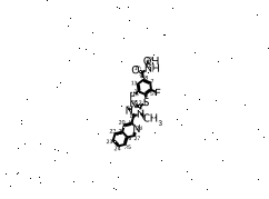 Cn1c(Sc2c(F)cc(C(=O)NO)cc2F)nnc1-c1cc2ccccc2cn1